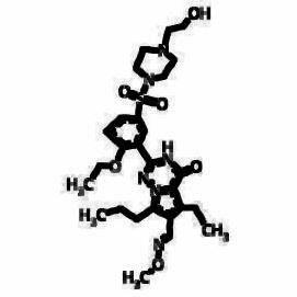 CCCc1c(C=NOC)c(CC)c2c(=O)[nH]c(-c3cc(S(=O)(=O)N4CCN(CCO)CC4)ccc3OCC)nn12